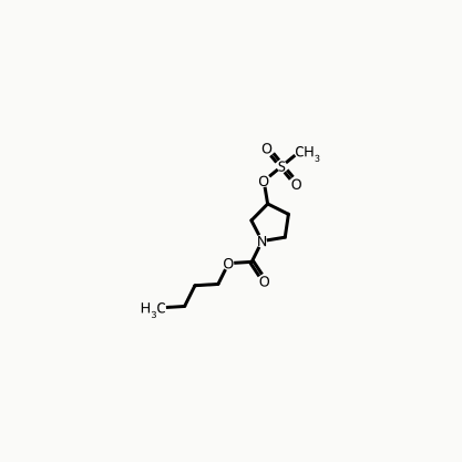 CCCCOC(=O)N1CCC(OS(C)(=O)=O)C1